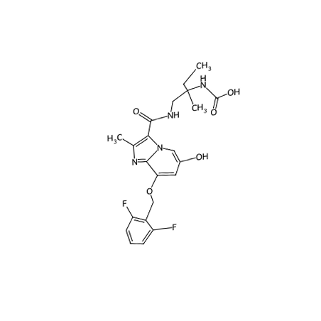 CCC(C)(CNC(=O)c1c(C)nc2c(OCc3c(F)cccc3F)cc(O)cn12)NC(=O)O